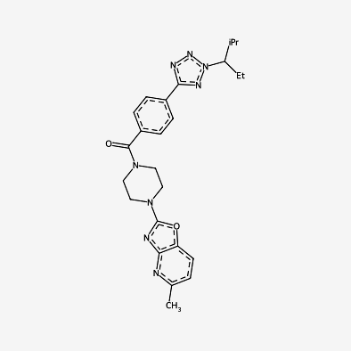 CCC(C(C)C)n1nnc(-c2ccc(C(=O)N3CCN(c4nc5nc(C)ccc5o4)CC3)cc2)n1